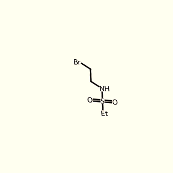 CCS(=O)(=O)NCCBr